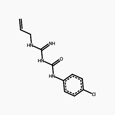 C=CCNC(=N)NC(=O)Nc1ccc(Cl)cc1